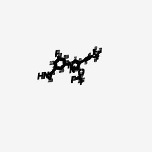 C[Si](C)(C)C#Cc1cn(-c2cc(F)cc(C3CN3)c2)nc1OC(F)F